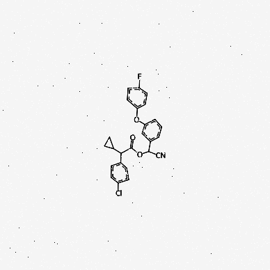 N#CC(OC(=O)C(c1ccc(Cl)cc1)C1CC1)c1cccc(Oc2ccc(F)cc2)c1